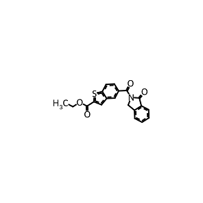 CCOC(=O)c1cc2cc(C(=O)N3Cc4ccccc4C3=O)ccc2s1